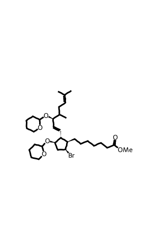 COC(=O)CCCCCC[C@@H]1[C@@H](/C=C/[C@@H](OC2CCCCO2)C(C)CC=C(C)C)[C@H](OC2CCCCO2)C[C@@H]1Br